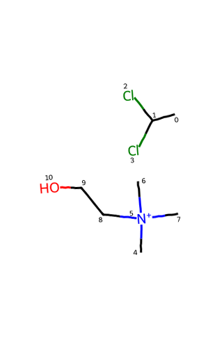 CC(Cl)Cl.C[N+](C)(C)CCO